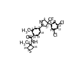 Cc1cc(C2=NCC(c3cc(Cl)cc(Cl)c3)(C(F)(F)F)C2)ccc1C(=O)NC1(C)CSC1